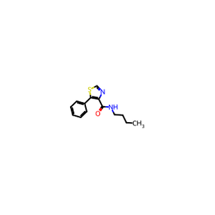 CCCCNC(=O)c1ncsc1-c1ccccc1